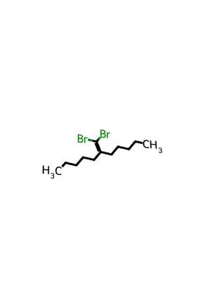 CCCCCC(CCCCC)=C(Br)Br